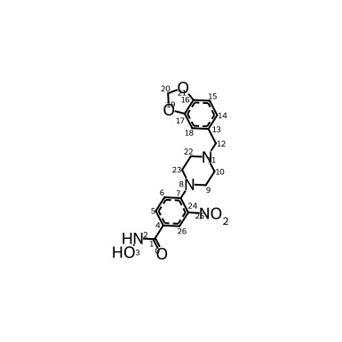 O=C(NO)c1ccc(N2CCN(Cc3ccc4c(c3)OCO4)CC2)c([N+](=O)[O-])c1